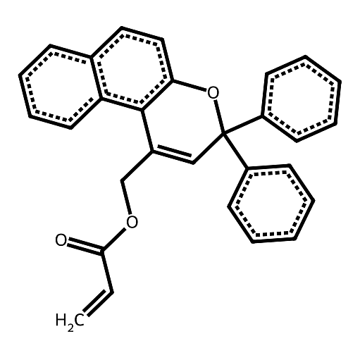 C=CC(=O)OCC1=CC(c2ccccc2)(c2ccccc2)Oc2ccc3ccccc3c21